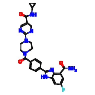 NC(=O)c1cc(F)cc2[nH]c(-c3ccc(C(=O)N4CCN(c5ncc(C(=O)NC6CC6)cn5)CC4)cc3)nc12